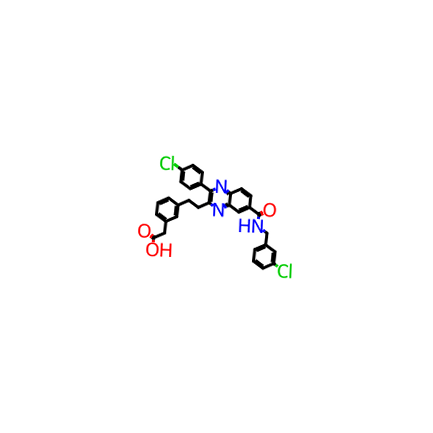 O=C(O)Cc1cccc(CCc2nc3cc(C(=O)NCc4cccc(Cl)c4)ccc3nc2-c2ccc(Cl)cc2)c1